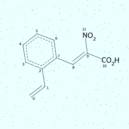 C=Cc1ccccc1/C=C(/C(=O)O)[N+](=O)[O-]